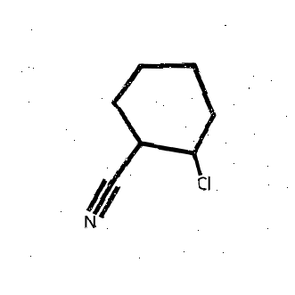 N#CC1CCCCC1Cl